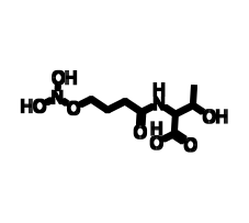 CC(O)C(NC(=O)CCCON(O)O)C(=O)O